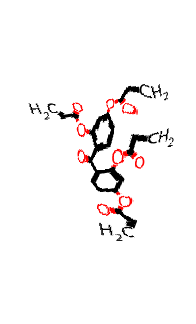 C=CC(=O)OC1=CC(OC(=O)C=C)CC=C1C(=O)c1ccc(OC(=O)C=C)cc1OC(=O)C=C